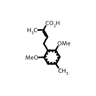 COc1cc(C)cc(OC)c1CC=C(C)C(=O)O